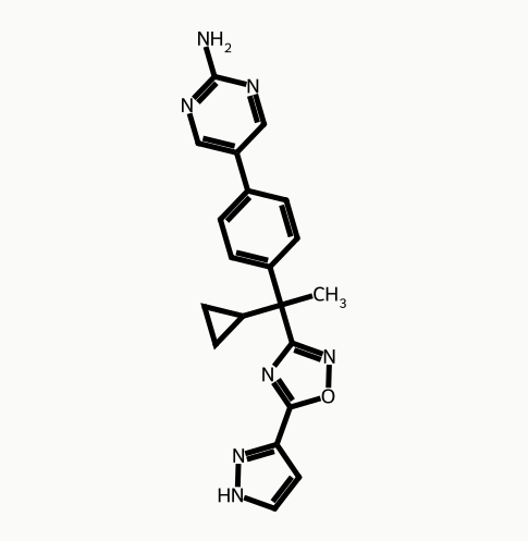 CC(c1ccc(-c2cnc(N)nc2)cc1)(c1noc(-c2cc[nH]n2)n1)C1CC1